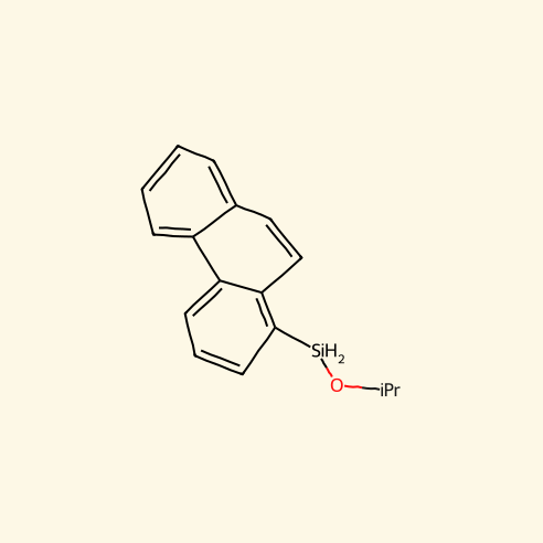 CC(C)O[SiH2]c1cccc2c1ccc1ccccc12